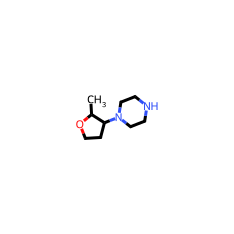 CC1OCCC1N1CCNCC1